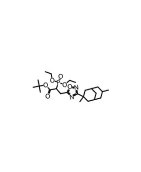 CCOP(=O)(OCC)C(Cc1nc(C2(C)CC3CC(C)CC(C3)C2)no1)C(=O)OC(C)(C)C